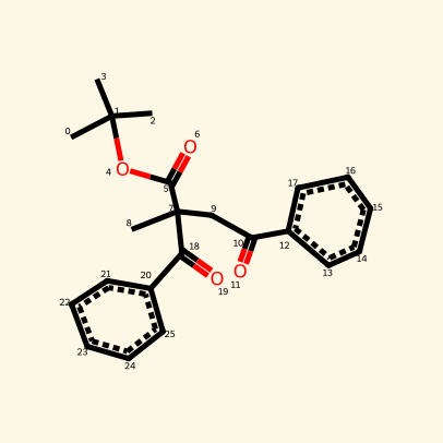 CC(C)(C)OC(=O)C(C)(CC(=O)c1ccccc1)C(=O)c1ccccc1